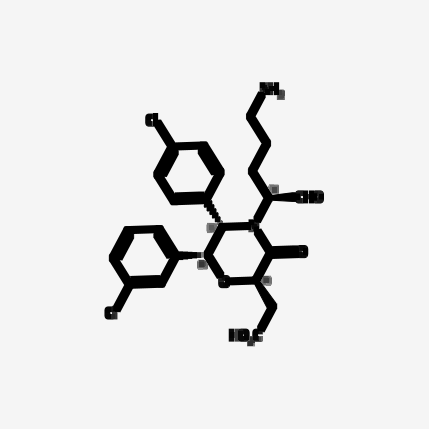 NCCC[C@@H](C=O)N1C(=O)[C@@H](CC(=O)O)O[C@H](c2cccc(Cl)c2)[C@@H]1c1ccc(Cl)cc1